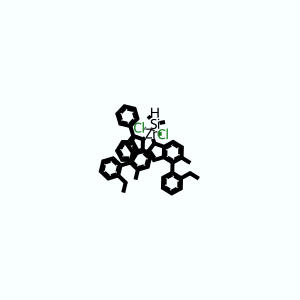 CCc1ccccc1-c1c(C)ccc2c1C=C(c1ccccc1)[CH]2[Zr]([Cl])([Cl])([CH]1C(c2ccccc2)=Cc2c1ccc(C)c2-c1ccccc1CC)[SiH](C)C